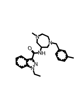 CCn1nc(C(=O)NC2CN(C)CCN(Cc3cccc(C)c3)C2)c2ccccc21